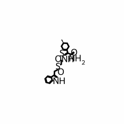 C[C@H]1CCc2c(sc(NC(=O)CSC(=O)Cc3c[nH]c4ccccc34)c2C(N)=O)C1